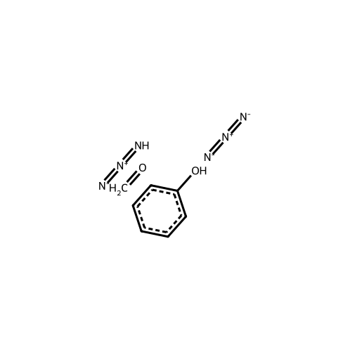 C=O.Oc1ccccc1.[N-]=[N+]=N.[N-]=[N+]=[N-]